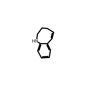 C1=C\c2ccccc2NCCC/1